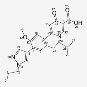 CCCn1cc(-c2cc3c(cc2OC)-c2cc(=O)c(C(=O)O)cn2C(C(C)C)C3)cn1